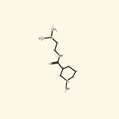 CN(C)CCNC(=O)C1CCCN(C(C)(C)C)C1